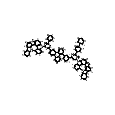 C1=CC2c3ccc(-c4nc(-c5ccccc5)nc(-n5c6ccc7sc8ccc9c%10ccccc%10n%10c%11cccc5c%11c6c7c8c9%10)n4)cc3-c3cccc(-c4cccc(-c5cc(-n6c7ccc8sc9ccc%10c%11ccccc%11n%11c%12cccc6c%12c7c8c9c%10%11)nc(-c6ccc(-c7ccccc7)cc6)n5)c4)c3C2C=C1